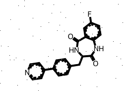 O=C1NC(Cc2ccc(-c3ccncc3)cc2)C(=O)Nc2ccc(F)cc21